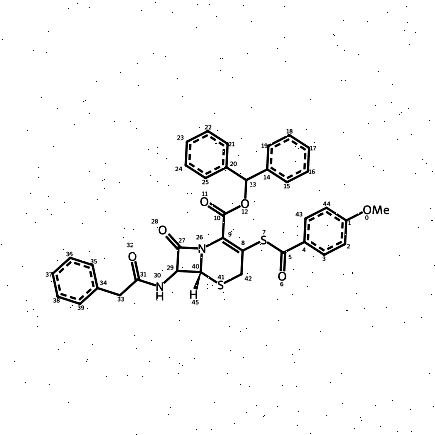 COc1ccc(C(=O)SC2=C(C(=O)OC(c3ccccc3)c3ccccc3)N3C(=O)C(NC(=O)Cc4ccccc4)[C@H]3SC2)cc1